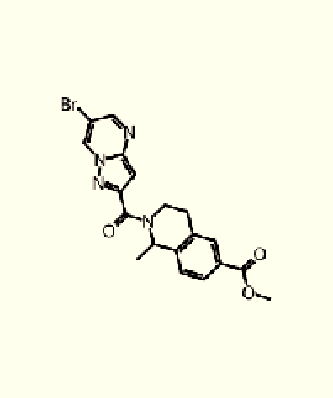 COC(=O)c1ccc2c(c1)CCN(C(=O)c1cc3ncc(Br)cn3n1)C2C